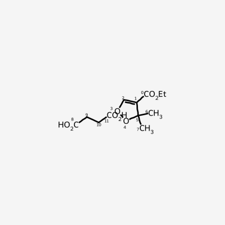 CCOC(=O)C1=COOC1(C)C.O=C(O)CCC(=O)O